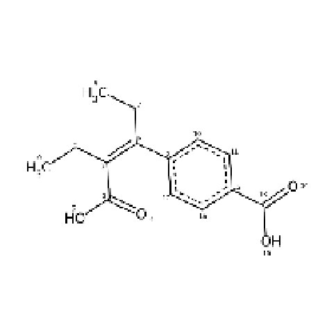 CCC(C(=O)O)=C(CC)c1ccc(C(=O)O)cc1